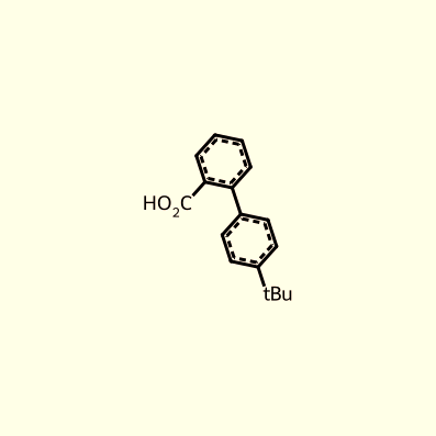 CC(C)(C)c1ccc(-c2ccccc2C(=O)O)cc1